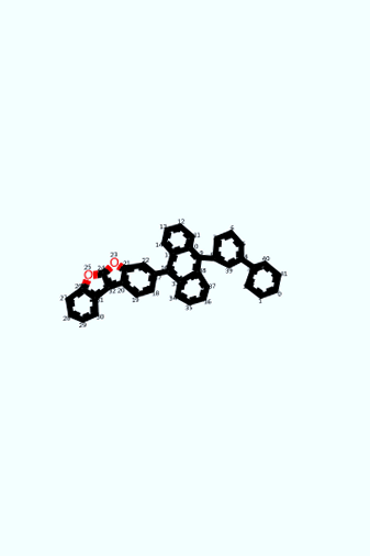 c1ccc(-c2cccc(-c3c4ccccc4c(-c4ccc5c(c4)oc4oc6ccccc6c45)c4ccccc34)c2)cc1